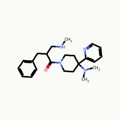 CNCC(Cc1ccccc1)C(=O)N1CCC(c2ccccn2)(N(C)C)CC1